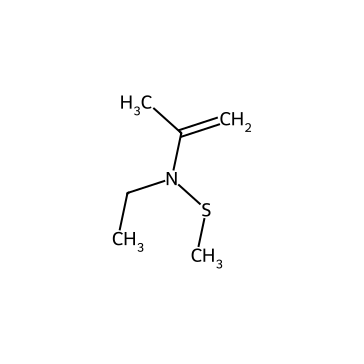 C=C(C)N(CC)SC